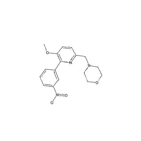 COc1ccc(CN2CCOCC2)nc1-c1cccc([N+](=O)[O-])c1